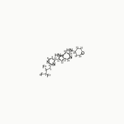 FC(F)C(F)Cc1nccc(-c2cc3cnc(NC4CCOCC4)cc3[nH]2)n1